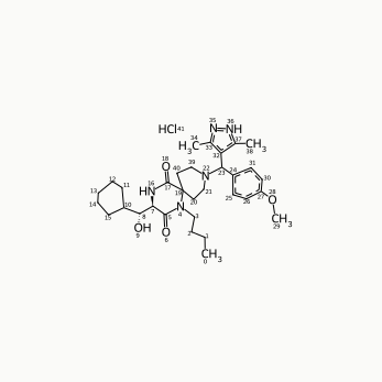 CCCCN1C(=O)[C@@H]([C@H](O)C2CCCCC2)NC(=O)C12CCN(C(c1ccc(OC)cc1)c1c(C)n[nH]c1C)CC2.Cl